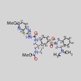 COC(=O)N1CC[C@]2(C1)CN(C(=O)Nc1nc3ccc(OC)nc3s1)c1ccc(S(=O)(=O)N(CCN(C)C)Cc3ccccc3)cc12